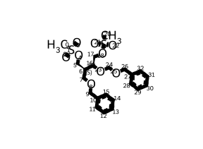 CS(=O)(=O)OC[C@H](COCc1ccccc1)[C@@H](COS(C)(=O)=O)OCOCc1ccccc1